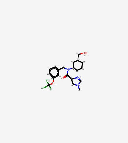 CN1C=NC(C(=O)N(Cc2cccc(OC(F)(F)F)c2)[C@@H]2CCC[C@H](CO)C2)C1